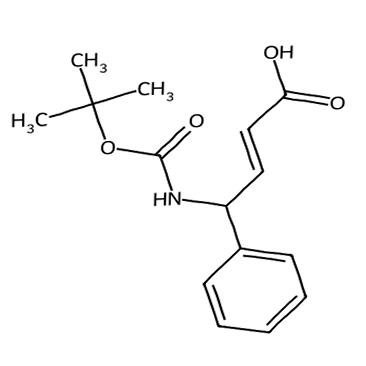 CC(C)(C)OC(=O)NC(/C=C/C(=O)O)c1ccccc1